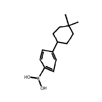 CC1(C)CCC(c2ccc(B(O)O)cc2)CC1